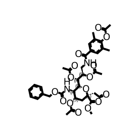 COC(=O)[C@@]1(CC=O)C[C@H](OC(C)=O)[C@@H](NC(=O)OCc2ccccc2)[C@H]([C@H](OC(C)=O)[C@@H](CNC(=O)c2cc(C)c(OC(C)=O)c(C)c2)OC(C)=O)O1